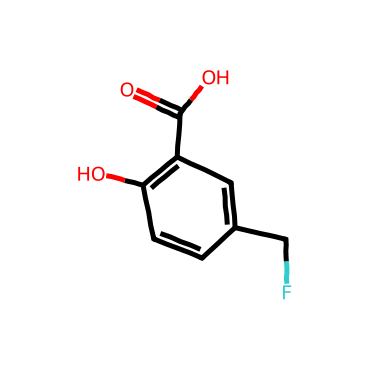 O=C(O)c1cc(CF)ccc1O